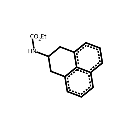 CCOC(=O)NC1Cc2cccc3cccc(c23)C1